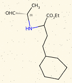 CCOC(=O)C(CCC1CCCCC1)N[C@@H](C)[C]=O